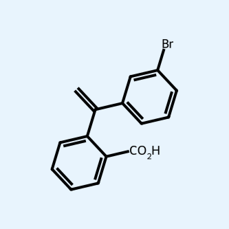 C=C(c1cccc(Br)c1)c1ccccc1C(=O)O